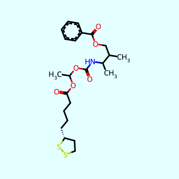 CC(OC(=O)CCCC[C@@H]1CCSS1)OC(=O)NC(C)C(C)COC(=O)c1ccccc1